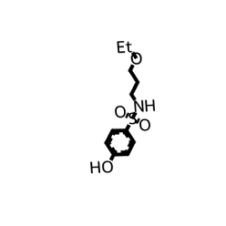 CCOCCCNS(=O)(=O)c1ccc(O)cc1